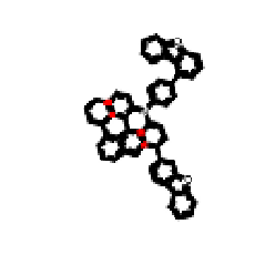 c1ccc(N(c2ccc(-c3ccc4c(c3)oc3ccccc34)cc2)c2ccc(-c3cccc4oc5ccccc5c34)cc2)c(-c2cccc3cccc(C4CCCCC4)c23)c1